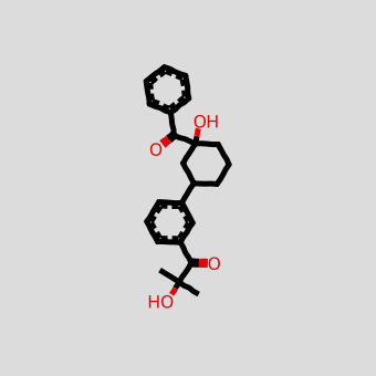 CC(C)(O)C(=O)c1cccc(C2CCCC(O)(C(=O)c3ccccc3)C2)c1